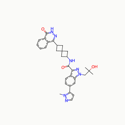 Cn1nccc1-c1ccc2c(C(=O)NC3CC4(C3)CC(c3n[nH]c(=O)c5ccccc35)C4)nn(CC(C)(C)O)c2c1